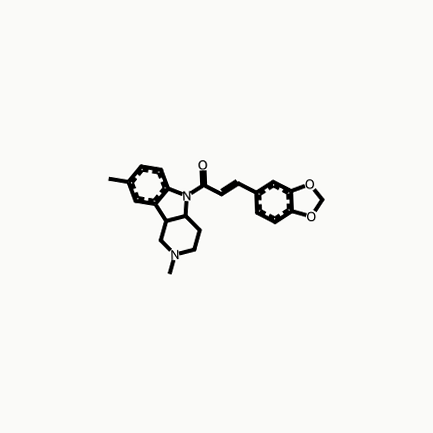 Cc1ccc2c(c1)C1CN(C)CCC1N2C(=O)/C=C/c1ccc2c(c1)OCO2